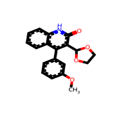 COc1cccc(-c2c(C3OCCO3)c(=O)[nH]c3ccccc23)c1